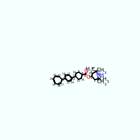 CC1(C)CC(OC(=O)C2CCC(c3ccc(C4C=CC=CC=C4)cc3)CC2)CC(C)(C)N1